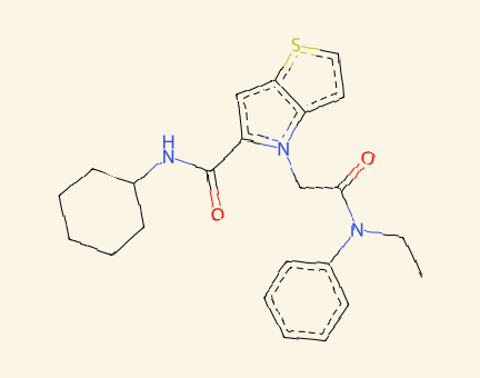 CCN(C(=O)Cn1c(C(=O)NC2CCCCC2)cc2sccc21)c1ccccc1